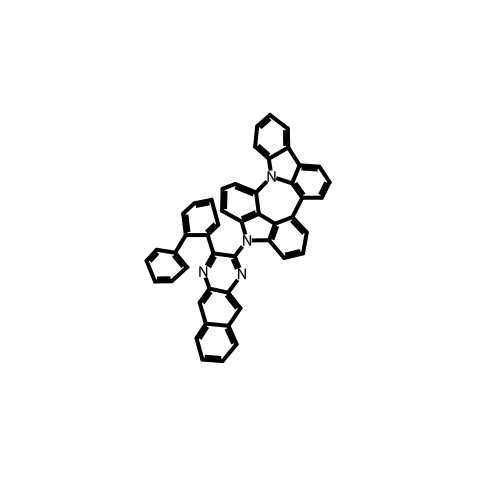 c1ccc(-c2ccccc2-c2nc3cc4ccccc4cc3nc2-n2c3cccc4c5cccc6c7ccccc7n(c7cccc2c7c43)c56)cc1